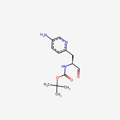 CC(C)(C)OC(=O)N[C@H](C=O)Cc1ccc(N)cn1